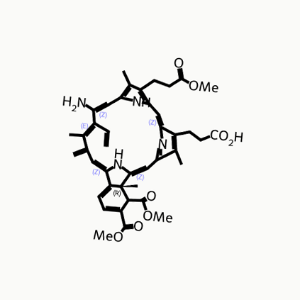 C=CC1=C(/C)C(=C)/C=C2\N/C(=C\C3=NC(=C\c4[nH]c(c(C)c4CCC(=O)OC)\C=C\1N)/C(CCC(=O)O)=C3C)[C@@]1(C)C2=CC=C(C(=O)OC)C1C(=O)OC